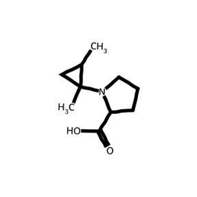 CC1CC1(C)N1CCCC1C(=O)O